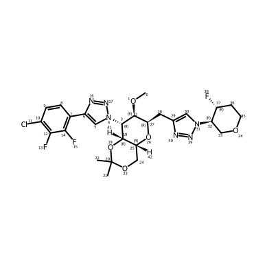 CO[C@@H]1[C@@H](n2cc(-c3ccc(Cl)c(F)c3F)nn2)[C@H]2OC(C)(C)OC[C@H]2O[C@@H]1Cc1cn([C@@H]2COCC[C@H]2F)nn1